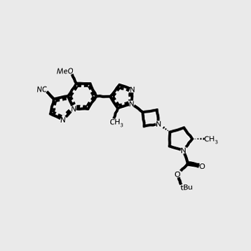 COc1cc(-c2cnn(C3CN([C@@H]4C[C@H](C)N(C(=O)OC(C)(C)C)C4)C3)c2C)cn2ncc(C#N)c12